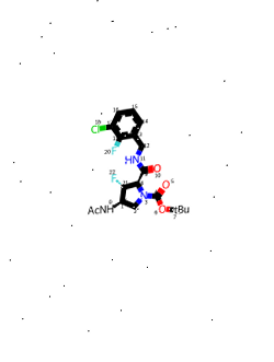 CC(=O)N[C@@H]1CN(C(=O)OC(C)(C)C)[C@H](C(=O)NCc2cccc(Cl)c2F)[C@H]1F